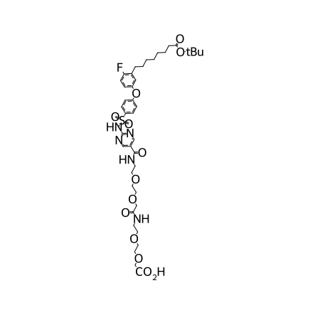 CC(C)(C)OC(=O)CCCCCCCc1cc(Oc2ccc(S(=O)(=O)Nc3ncc(C(=O)NCCOCCOCC(=O)NCCOCCOCC(=O)O)cn3)cc2)ccc1F